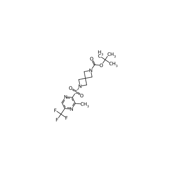 Cc1nc(C(F)(F)F)cnc1S(=O)(=O)N1CC2(CN(C(=O)OC(C)(C)C)C2)C1